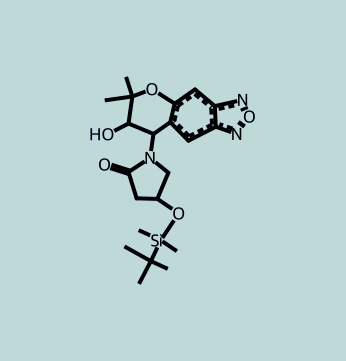 CC1(C)Oc2cc3nonc3cc2C(N2CC(O[Si](C)(C)C(C)(C)C)CC2=O)C1O